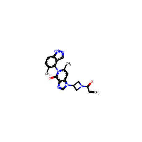 C=CC(=O)N1CC(n2cnc3c(=O)n(-c4c(C)ccc5[nH]ncc45)c(C)cc32)C1